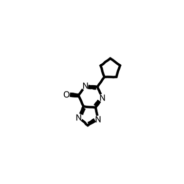 O=C1N=C(C2CCCC2)N=C2N=CN=C12